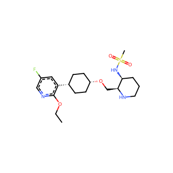 CCOc1ncc(F)cc1[C@H]1CC[C@@H](OC[C@@H]2NCCC[C@@H]2NS(C)(=O)=O)CC1